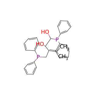 CC(C)=C(CP(c1ccccc1)c1ccccc1)C(O)C(O)P(c1ccccc1)c1ccccc1